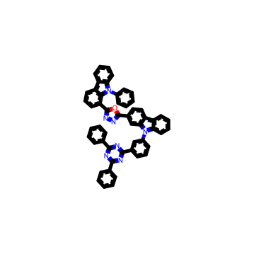 c1ccc(-c2nc(-c3ccccc3)nc(-c3cccc(-n4c5ccccc5c5ccc(-c6nnc(-c7cccc8c9ccccc9n(-c9ccccc9)c78)o6)cc54)c3)n2)cc1